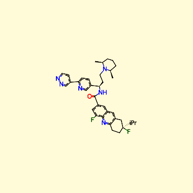 CC(C)[C@]1(F)CCc2nc3c(F)cc(C(=O)N[C@H](CCN4[C@H](C)CCC[C@@H]4C)c4ccc(-c5ccnnc5)nc4)cc3cc2C1